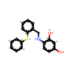 Oc1ccc(NCc2ccccc2Sc2ccccc2)c(O)c1